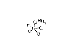 [AlH3].[Cl][Ti]([Cl])([Cl])([Cl])[Cl]